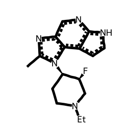 CCN1CC[C@@H](n2c(C)nc3cnc4[nH]ccc4c32)[C@@H](F)C1